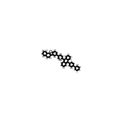 c1ccc(-c2ccc(-c3c4ccccc4c(-c4ccc(-c5ccc6oc7c8ccccc8ccc7c6c5)cn4)c4ccccc34)cc2)cc1